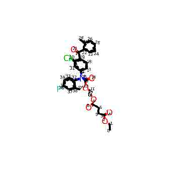 CCOC(=O)CCC(=O)OCCOC(=O)N(c1ccc(C(=O)c2ccccc2C)c(Cl)c1)c1ccc(F)cc1C